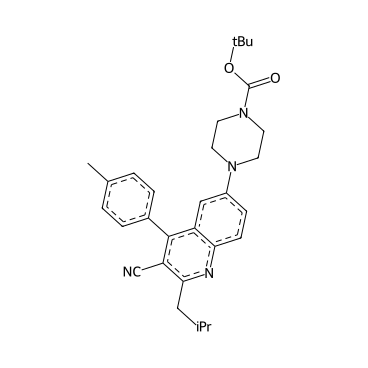 Cc1ccc(-c2c(C#N)c(CC(C)C)nc3ccc(N4CCN(C(=O)OC(C)(C)C)CC4)cc23)cc1